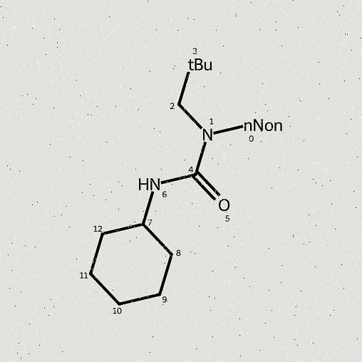 CCCCCCCCCN(CC(C)(C)C)C(=O)NC1CCCCC1